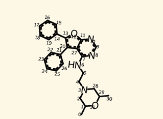 CC1CN(CCNc2ncnc3oc(-c4ccccc4)c(-c4ccccc4)c23)CC(C)O1